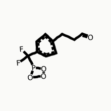 O=CCCc1ccc(C(F)(F)P2OOO2)cc1